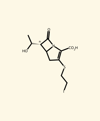 CC(O)[C@@H]1C(=O)N2C(C(=O)O)=C(SCCI)CC12